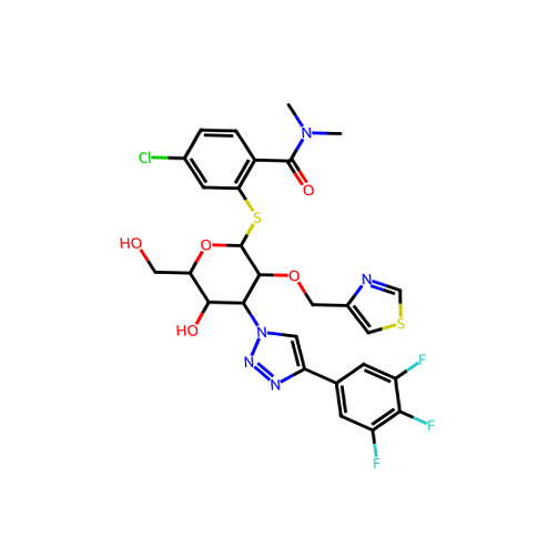 CN(C)C(=O)c1ccc(Cl)cc1SC1OC(CO)C(O)C(n2cc(-c3cc(F)c(F)c(F)c3)nn2)C1OCc1cscn1